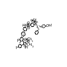 Cc1c(S(C)(=O)=O)c(-c2cc(N3CCN(c4ccc(NS(=O)(=O)c5ccc(N[C@H](CCN6CCC(O)CC6)CSc6ccccc6)c(S(=O)(=O)C(F)(F)F)c5)cc4)CC3)cc(F)c2I)c(-c2ccc(F)cc2)n1C(C)C